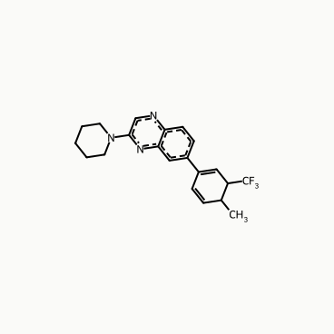 CC1C=CC(c2ccc3ncc(N4CCCCC4)nc3c2)=CC1C(F)(F)F